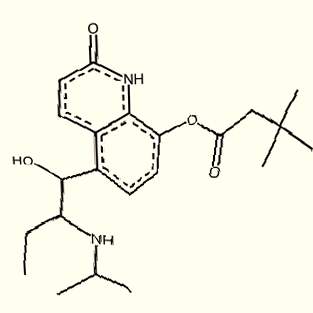 CCC(NC(C)C)C(O)c1ccc(OC(=O)CC(C)(C)C)c2[nH]c(=O)ccc12